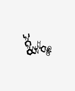 CCN(CC)C1CCN(c2cccc3cnc(NC4CCN(S(C)(=O)=O)CC4)nc23)CC1